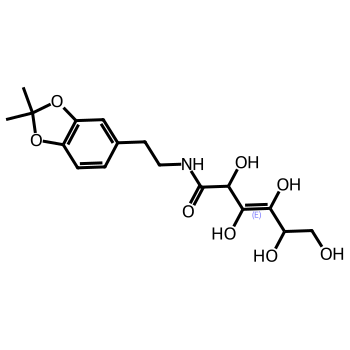 CC1(C)Oc2ccc(CCNC(=O)C(O)/C(O)=C(\O)C(O)CO)cc2O1